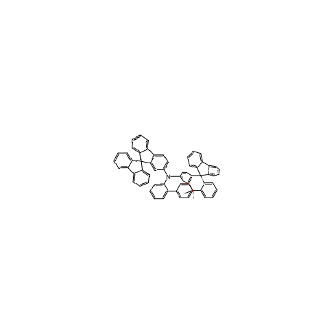 CC1(C)c2ccccc2C2(c3ccccc3-c3ccccc32)c2ccc(N(c3ccc4c(c3)C3(c5ccccc5-c5ccccc53)c3ccccc3-4)c3ccccc3-c3ccccc3)cc21